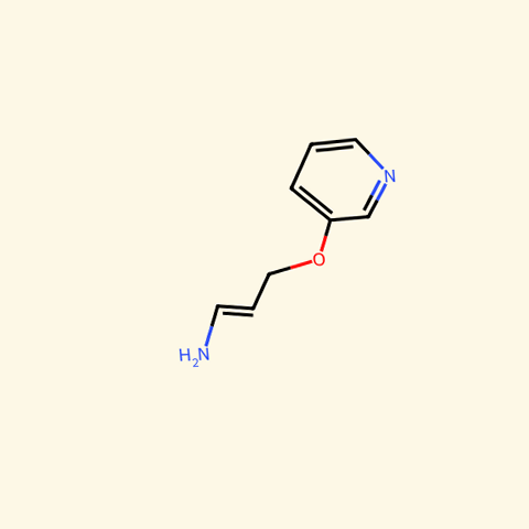 NC=CCOc1cccnc1